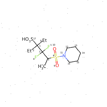 CCC(CC)(C(F)(F)C(C)S(=O)(=O)N1CCCCC1)S(=O)(=O)O